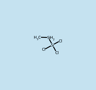 C[SiH2][Si](Cl)(Cl)Cl